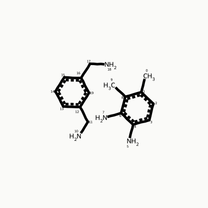 Cc1ccc(N)c(N)c1C.NCc1cccc(CN)c1